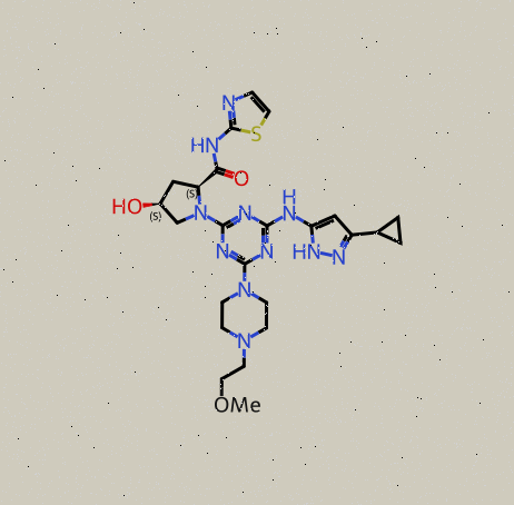 COCCN1CCN(c2nc(Nc3cc(C4CC4)n[nH]3)nc(N3C[C@@H](O)C[C@H]3C(=O)Nc3nccs3)n2)CC1